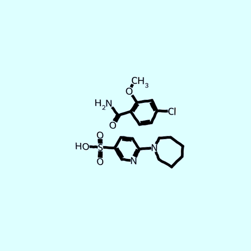 COc1cc(Cl)ccc1C(N)=O.O=S(=O)(O)c1ccc(N2CCCCCC2)nc1